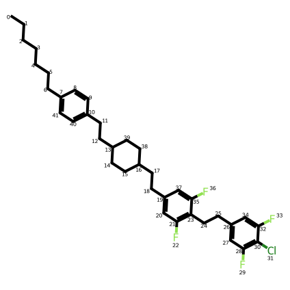 CCCCCCCc1ccc(CCC2CCC(CCc3cc(F)c(CCc4cc(F)c(Cl)c(F)c4)c(F)c3)CC2)cc1